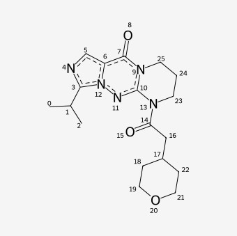 CC(C)c1ncc2c(=O)n3c(nn12)N(C(=O)CC1CCOCC1)CCC3